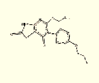 O=C1Cc2c(nc(SCC(F)(F)F)n(-c3ccc(OCCF)cc3)c2=O)N1